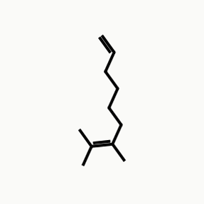 C=CCCCCC(C)=C(C)C